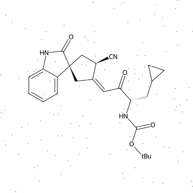 CC(C)(C)OC(=O)N[C@@H](CC1CC1)C(=O)/C=C1/C[C@]2(C[C@H]1C#N)C(=O)Nc1ccccc12